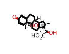 C[C@@H]1CC2(O)[C@@H]3CCC4=CC(=O)C=C[C@]4(C)[C@H]3CC[C@]2(C)[C@H]1[C@@H](O)C(=O)O